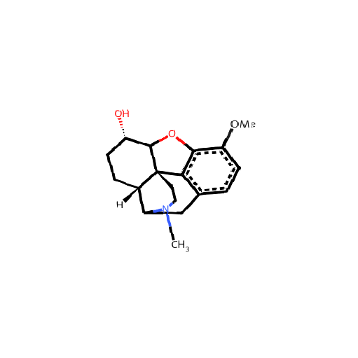 COc1ccc2c3c1OC1[C@@H](O)CC[C@H]4C(C2)N(C)CC[C@]314